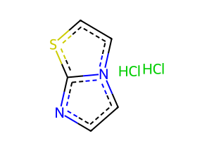 Cl.Cl.c1cn2ccsc2n1